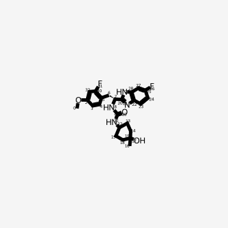 COc1ccc(C[C@@H](NC(=O)NC2CCC(C)(O)CC2)c2nc3ccc(F)cc3[nH]2)c(F)c1